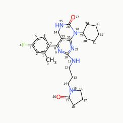 Cc1cc(F)ccc1-c1nc(NCCCN2CCCC2=O)nc2c1CNC(=O)N2C1CCCCC1